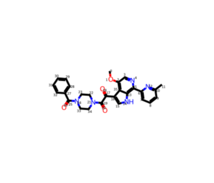 COc1cnc(-c2cccc(C)n2)c2[nH]cc(C(=O)C(=O)N3CCN(C(=O)c4ccccc4)CC3)c12